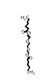 CCCCCCC(=O)OCCOCCOCCOC(=O)CCCCCC